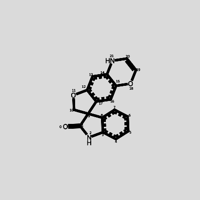 O=C1Nc2ccccc2C12COc1cc3c(cc12)OC=CN3